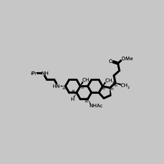 COC(=O)CC[C@@H](C)[C@H]1CCC2C3C(CC[C@@]21C)[C@@]1(C)CC[C@@H](NCCNC(C)C)C[C@@H]1C[C@H]3NC(C)=O